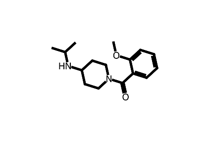 COc1ccccc1C(=O)N1CCC(NC(C)C)CC1